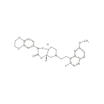 COc1ccc2ncc(F)c(CCN3CC[C@@H]4CN(c5ccc6c(c5)OCCO6)C(=O)O[C@H]4C3)c2n1